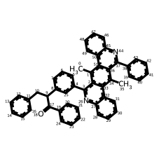 Cc1c2c(-c3cccc(C(Cc4ccccc4)C(=O)c4ccccc4)c3)nc3ccccc3c2c(C)c2c(-c3ccccc3)nc3ccccc3c12